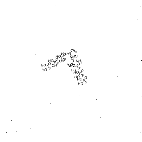 CN(C)C=O.NC(N)=O.O=P(O)(O)F.O=P(O)(O)F.O=P(O)(O)F.O=P(O)(O)F.O=P(O)(O)F.O=P(O)(O)F